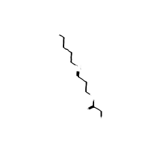 CCCCCN=CCCOC(=O)CC